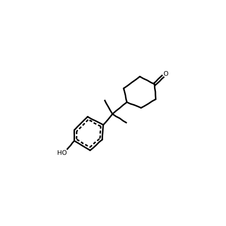 CC(C)(c1ccc(O)cc1)C1CCC(=O)CC1